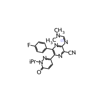 CC(C)n1nc(-c2nc(C#N)c(/N=C\N(C)C)nc2-c2ccc(F)cc2)ccc1=O